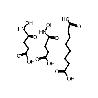 O=C(O)CCC(=O)NO.O=C(O)CCC(=O)NO.O=C(O)CCCCCCC(=O)O